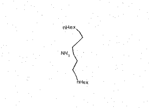 N.[CH2]CCCCCCCCCCCCCCC